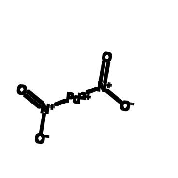 O=[N+]([O-])[Pd+2][N+](=O)[O-]